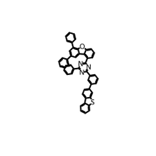 c1ccc(-c2cc(-c3ccccc3)c3oc4cccc(-c5nc(-c6ccccc6)nc(-c6cccc(-c7ccc8c(c7)sc7ccccc78)c6)n5)c4c3c2)cc1